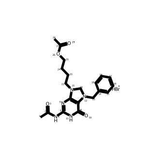 Br.CC(=O)Nc1nc2c(c(=O)[nH]1)N(Cc1ccccc1)CN2CCCCOC(C)=O